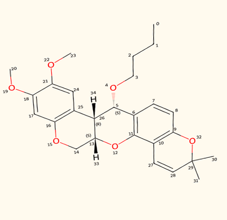 CCCCO[C@@H]1c2ccc3c(c2O[C@@H]2COc4cc(OC)c(OC)cc4[C@H]12)C=CC(C)(C)O3